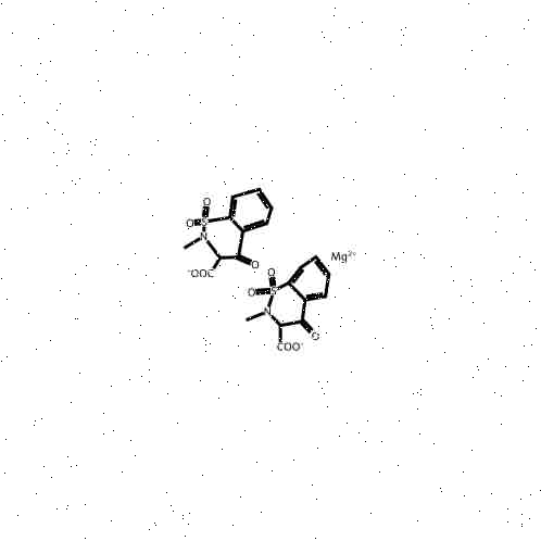 CN1C(C(=O)[O-])C(=O)c2ccccc2S1(=O)=O.CN1C(C(=O)[O-])C(=O)c2ccccc2S1(=O)=O.[Mg+2]